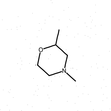 CC1CN(C)C[CH]O1